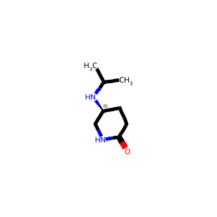 CC(C)N[C@H]1CCC(=O)NC1